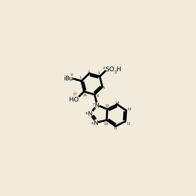 CCC(C)c1cc(S(=O)(=O)O)cc(-n2nnc3ccccc32)c1O